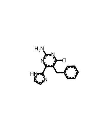 Nc1nc(Cl)c(Cc2ccccc2)c(-c2ncc[nH]2)n1